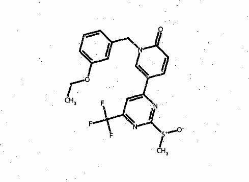 CCOc1cccc(Cn2cc(-c3cc(C(F)(F)F)nc([S+](C)[O-])n3)ccc2=O)c1